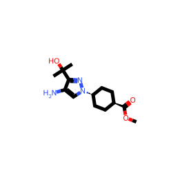 COC(=O)[C@H]1CC[C@H](n2cc(N)c(C(C)(C)O)n2)CC1